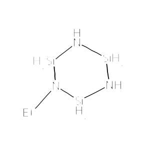 CCN1[SiH2]N[SiH2]N[SiH2]1